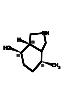 C[C@@H]1CC[C@H](O)[C@H]2CNCC12